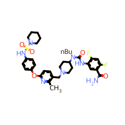 CCCCN(C(=O)Nc1cc(C(N)=O)c(F)cc1F)C1CCN(Cc2ccc(Oc3ccc(NS(=O)(=O)N4CCCCC4)cc3)nc2C)CC1